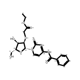 CCOC(=O)CO[C@@H]1[C@H](O)[C@@H](CO)O[C@H]1n1ccc(NC(=O)c2ccccc2)nc1=O